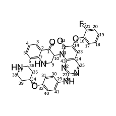 O=C1c2ccccc2NCC1n1c(=O)c(Oc2ccccc2F)cc2cnc(Nc3ccc(OC4CCNCC4)cc3)nc21